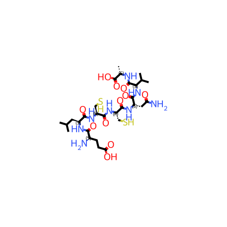 CC(C)C[C@H](NC(=O)[C@@H](N)CCC(=O)O)C(=O)N[C@@H](CS)C(=O)N[C@@H](CS)C(=O)N[C@@H](CC(N)=O)C(=O)N[C@H](C(=O)N[C@@H](C)C(=O)O)C(C)C